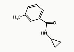 Cc1cccc(C(=O)NC2CC2)c1